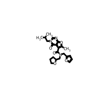 Cc1oc2ncn(CC(C)C)c(=O)c2c1C(=O)N(Cc1ccco1)CC1CCCO1